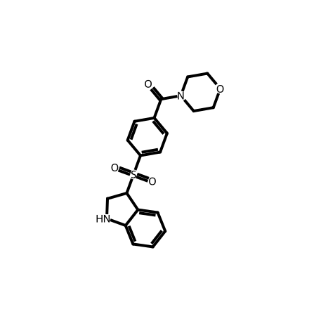 O=C(c1ccc(S(=O)(=O)C2CNc3ccccc32)cc1)N1CCOCC1